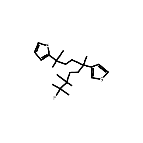 CC(C)(CCC(C)(CCC(C)(C)C(C)(C)F)c1ccsc1)c1cccs1